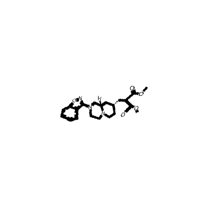 COC(=O)C(C[C@@H]1CCN2CCN(c3noc4ccccc34)C[C@@H]2C1)C(=O)OC